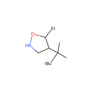 CCC1ONCC1C(C)(C)C(C)(C)C